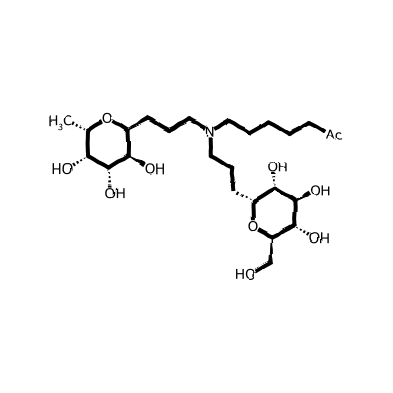 CC(=O)CCCCCN(CCC[C@@H]1O[C@@H](C)[C@@H](O)[C@@H](O)[C@@H]1O)CCC[C@H]1O[C@H](CO)[C@@H](O)[C@H](O)[C@H]1O